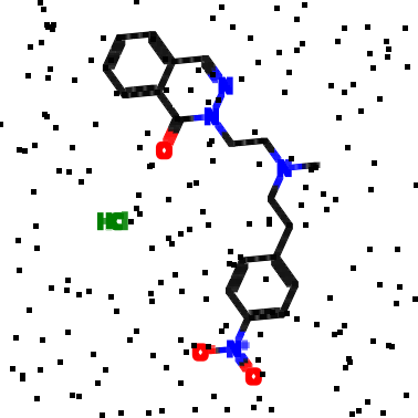 CN(CCc1ccc([N+](=O)[O-])cc1)CCn1ncc2ccccc2c1=O.Cl